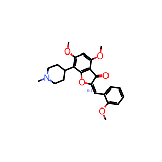 COc1ccccc1/C=C1/Oc2c(c(OC)cc(OC)c2C2CCN(C)CC2)C1=O